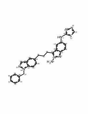 Nn1nc2ccc(Nc3nncs3)cc2c1CCCc1ccc2c(cnn2Cc2ccccc2)c1